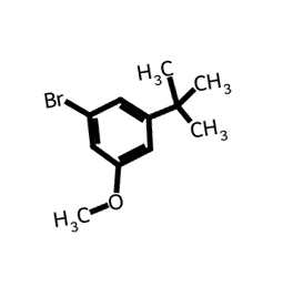 COc1cc(Br)cc(C(C)(C)C)c1